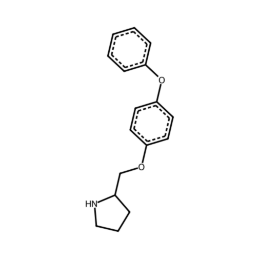 c1ccc(Oc2ccc(OCC3CCCN3)cc2)cc1